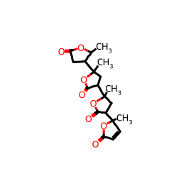 CC1OC(=O)CC1C1(C)CC(C2(C)CC(C3(C)C=CC(=O)O3)C(=O)O2)C(=O)O1